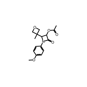 COc1ccc(N2C(=O)C(OC(C)=O)C2C2(C)COC2)cc1